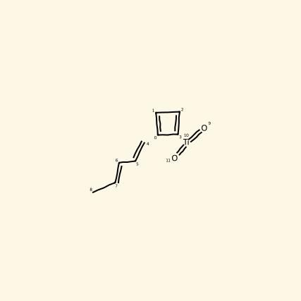 C1=CC=C1.C=CC=CC.[O]=[Ti]=[O]